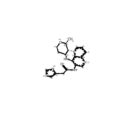 C[C@H]1C[C@@H](Nc2c(NC(=O)Cc3cscn3)cnc3cccnc23)CCO1